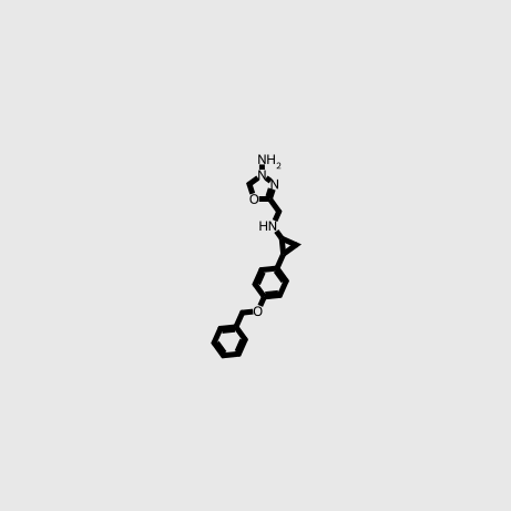 NN1COC(CNC2CC2c2ccc(OCc3ccccc3)cc2)=N1